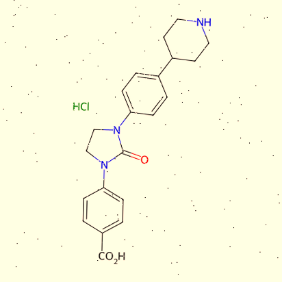 Cl.O=C(O)c1ccc(N2CCN(c3ccc(C4CCNCC4)cc3)C2=O)cc1